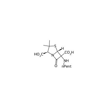 CCCCCNC1(C(=O)O)C(=O)N2[C@@H](C(=O)O)C(C)(C)S[C@@H]21